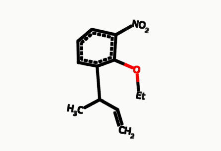 C=C[C](C)c1cccc([N+](=O)[O-])c1OCC